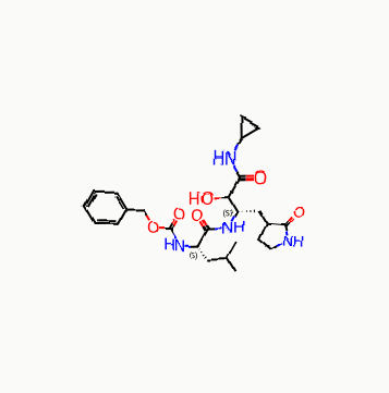 CC(C)C[C@H](NC(=O)OCc1ccccc1)C(=O)N[C@@H](CC1CCNC1=O)C(O)C(=O)NC1CC1